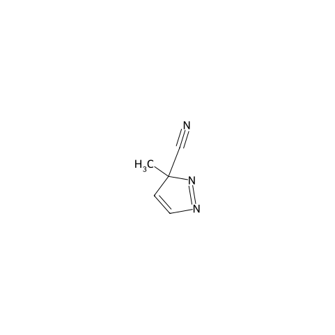 CC1(C#N)C=CN=N1